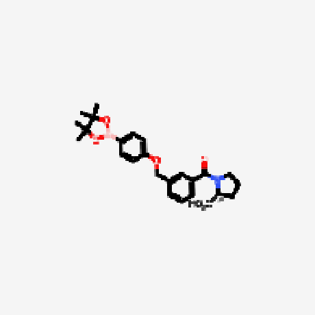 CC1(C)OB(c2ccc(OCc3cccc(C(=O)N4CCC[C@H]4C(=O)O)c3)cc2)OC1(C)C